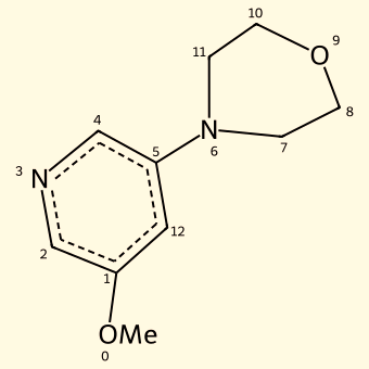 COc1cncc(N2CCOCC2)c1